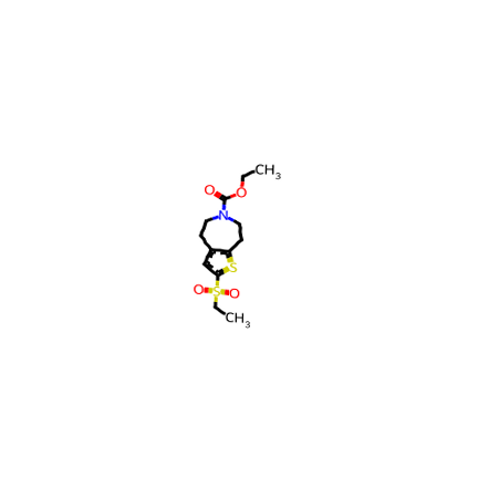 CCOC(=O)N1CCc2cc(S(=O)(=O)CC)sc2CC1